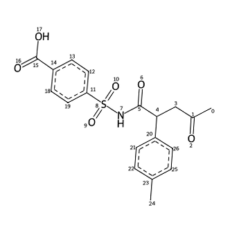 CC(=O)CC(C(=O)NS(=O)(=O)c1ccc(C(=O)O)cc1)c1ccc(C)cc1